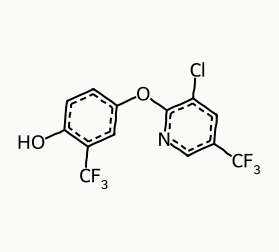 Oc1ccc(Oc2ncc(C(F)(F)F)cc2Cl)cc1C(F)(F)F